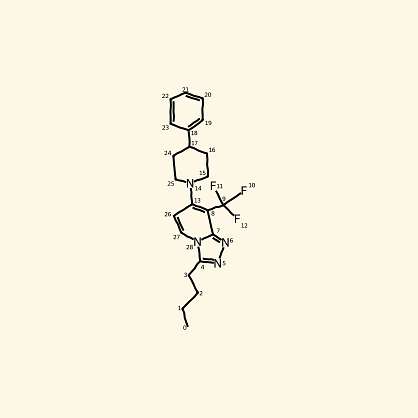 CCCCc1nnc2c(C(F)(F)F)c(N3CCC(c4ccccc4)CC3)ccn12